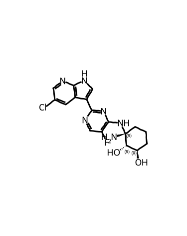 N[C@@]1(Nc2nc(-c3c[nH]c4ncc(Cl)cc34)ncc2F)CCC[C@@H](O)[C@@H]1O